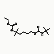 CCOC(=O)NC(C)(C)CCCCOC(=O)NC(C)(C)C